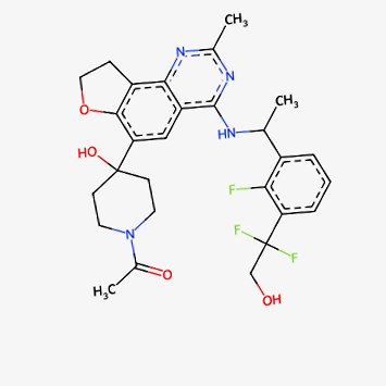 CC(=O)N1CCC(O)(c2cc3c(NC(C)c4cccc(C(F)(F)CO)c4F)nc(C)nc3c3c2OCC3)CC1